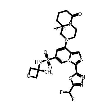 CC1(NS(=O)(=O)c2cc(N3CCN4C(=O)CCC[C@H]4C3)c3cnc(-c4nnc(C(F)F)s4)n3c2)COC1